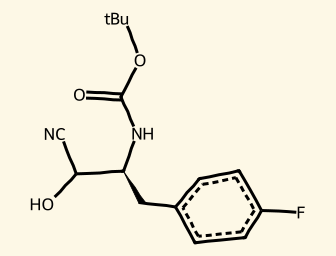 CC(C)(C)OC(=O)N[C@@H](Cc1ccc(F)cc1)C(O)C#N